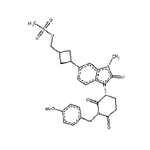 COc1ccc(CN2C(=O)CC[C@@H](n3c(=O)n(C)c4cc(C5CC(COS(C)(=O)=O)C5)ccc43)C2=O)cc1